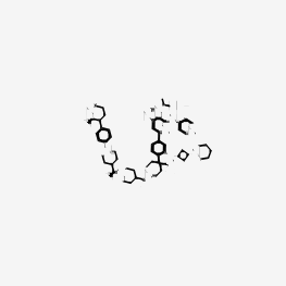 CC(C)n1cnc2cc(-c3ccc4c(c3)N([C@H]3C[C@@H](N5CCCCC5)C3)C(=O)C43CCN(C(=O)C4CCN(C(=O)C5CCN(c6ccc(C7CCC(=O)NC7=O)cc6)CC5)CC4)CC3)nc(Nc3ccncc3F)c21